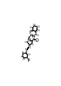 O=C1c2cc(C#Cc3cccc(F)c3)cn2CCN1Cc1ccccc1F